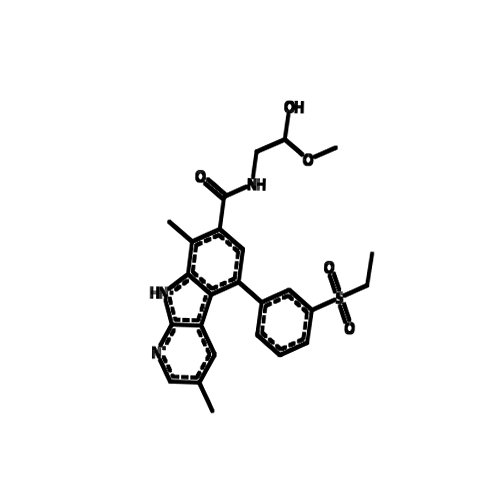 CCS(=O)(=O)c1cccc(-c2cc(C(=O)NCC(O)OC)c(C)c3[nH]c4ncc(C)cc4c23)c1